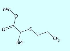 CCCOC(=O)C(CCC)SCCC(F)(F)F